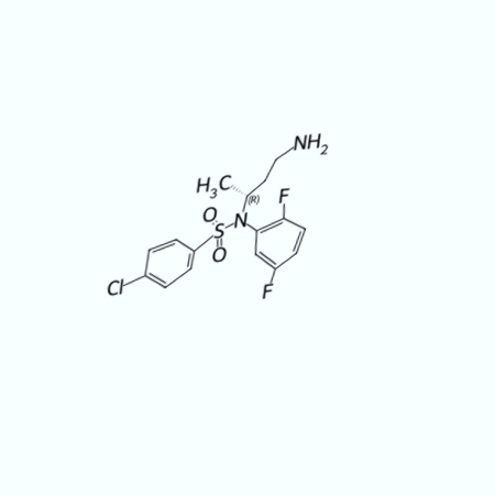 C[C@H](CCN)N(c1cc(F)ccc1F)S(=O)(=O)c1ccc(Cl)cc1